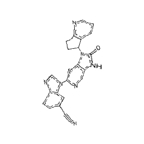 N#Cc1ccc2ncn(-c3ncc4[nH]c(=O)n(C5CCc6ncccc65)c4n3)c2c1